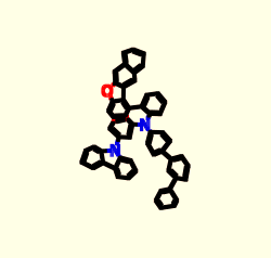 c1ccc(-c2cccc(-c3ccc(N(c4cccc(-n5c6ccccc6c6ccccc65)c4)c4ccccc4-c4cccc5oc6cc7ccccc7cc6c45)cc3)c2)cc1